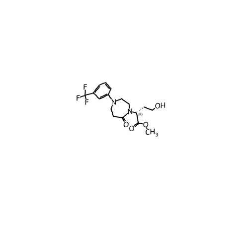 COC(=O)[C@@H](CCO)N1CCN(c2cccc(C(F)(F)F)c2)CCC1=O